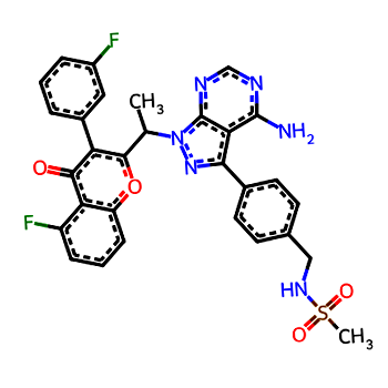 CC(c1oc2cccc(F)c2c(=O)c1-c1cccc(F)c1)n1nc(-c2ccc(CNS(C)(=O)=O)cc2)c2c(N)ncnc21